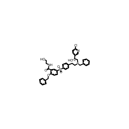 O=C(NCCO)c1cc(S(=O)(=O)c2ccc(CCN(Cc3ccccc3)C[C@H](O)c3ccc(Cl)nc3)cc2)ccc1OCc1ccccc1